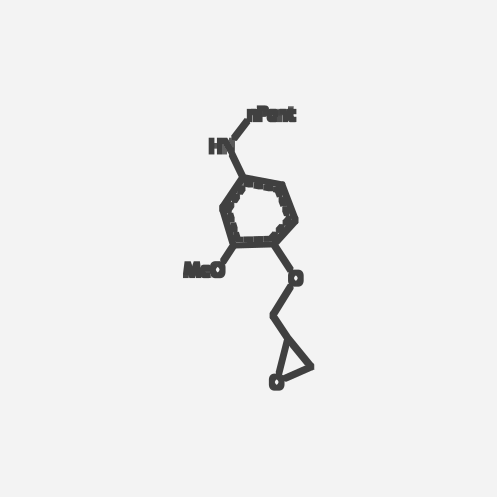 CCCCCNc1ccc(OCC2CO2)c(OC)c1